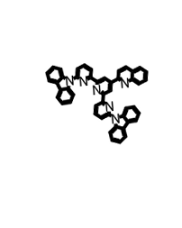 c1cc(-c2cc(-c3ccc4ccccc4n3)cc(-c3cccc(-n4c5ccccc5c5ccccc54)n3)n2)nc(-n2c3ccccc3c3ccccc32)c1